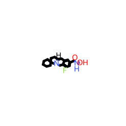 O=C(NO)c1cc(F)c2c(c1)C[C@@H]1CCC3(CCCCC3)CN1C2